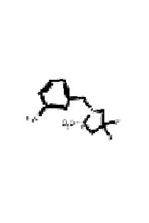 O=C(O)[C@H]1CC(F)(F)CN1Cc1cccc(C(F)(F)F)c1